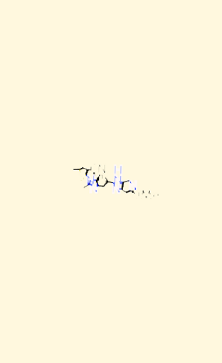 COc1cc2nc(C(C#N)=Cc3nc(C)n(-c4sc(C)cc4C#N)c3C)[nH]c2cn1